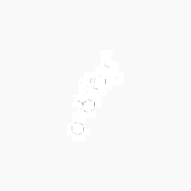 CCC(C(=O)NC(CC(=O)O)C(=O)CF)c1c(C)ccn(Cc2ccccc2)c1=O